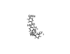 COc1ccc(C(=O)Nc2ccc(S(=O)(=O)Nc3cccc(C(F)(F)F)c3)c(C)c2)cc1